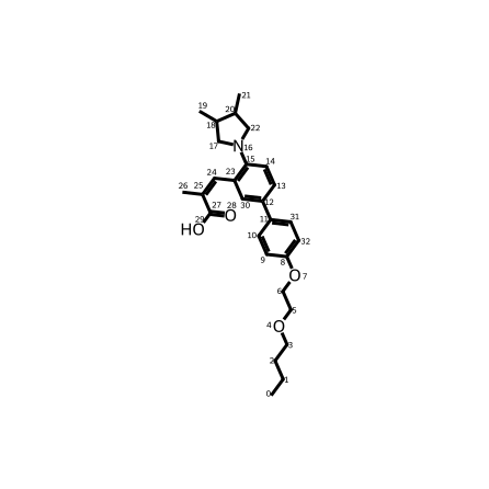 CCCCOCCOc1ccc(-c2ccc(N3CC(C)C(C)C3)c(C=C(C)C(=O)O)c2)cc1